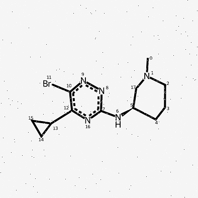 CN1CCC[C@@H](Nc2nnc(Br)c(C3CC3)n2)C1